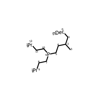 CCCCCCCCCCCC(C)CCP(CCC(C)C)CCC(C)C